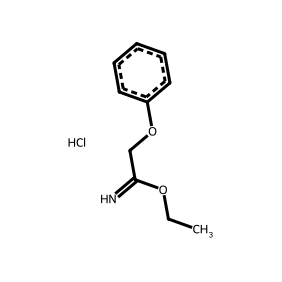 CCOC(=N)COc1ccccc1.Cl